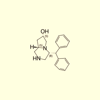 O[C@H]1C[C@H]2CNC[C@@H](C(c3ccccc3)c3ccccc3)N2C1